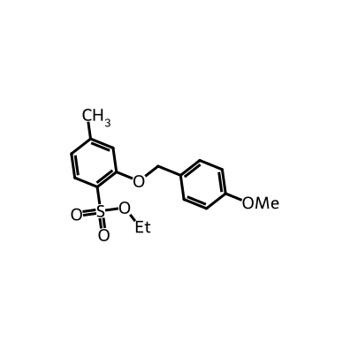 CCOS(=O)(=O)c1ccc(C)cc1OCc1ccc(OC)cc1